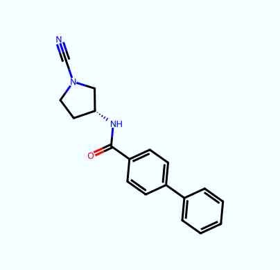 N#CN1CC[C@@H](NC(=O)c2ccc(-c3ccccc3)cc2)C1